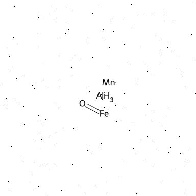 [AlH3].[Mn].[O]=[Fe]